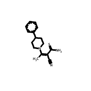 CC(=C(C#N)C(N)=S)N1CCC(c2ccccc2)CC1